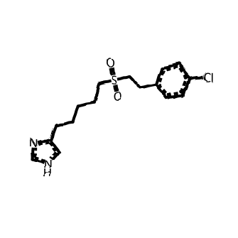 O=S(=O)(CCCCCc1c[nH]cn1)CCc1ccc(Cl)cc1